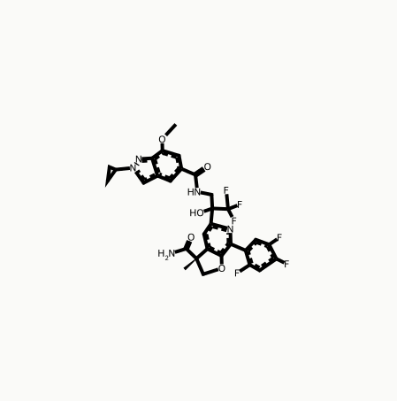 COc1cc(C(=O)NCC(O)(c2cc3c(c(-c4cc(F)c(F)cc4F)n2)OC[C@]3(C)C(N)=O)C(F)(F)F)cc2cn(C3CC3)nc12